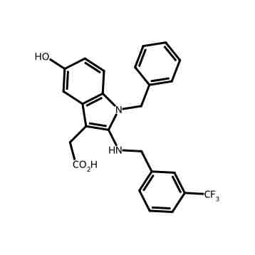 O=C(O)Cc1c(NCc2cccc(C(F)(F)F)c2)n(Cc2ccccc2)c2ccc(O)cc12